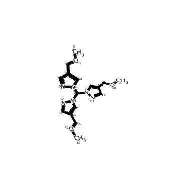 COCc1cnn(C(n2cc(COC)cn2)n2cc(COC)cn2)c1